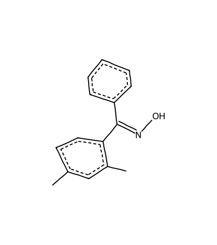 Cc1ccc(C(=NO)c2ccccc2)c(C)c1